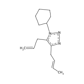 C=CCc1c(CC=CC)nnn1C1CCCCC1